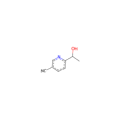 CC(O)c1ccc(C#N)cn1